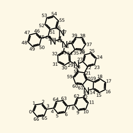 c1ccc(-c2ccc(-c3cccc(-n4c5ccccc5c5c6c7ccccc7n(-c7cccc8c7c7ccccc7n8-c7nc(-c8ccccc8)c8ccccc8n7)c6ccc54)c3)cc2)cc1